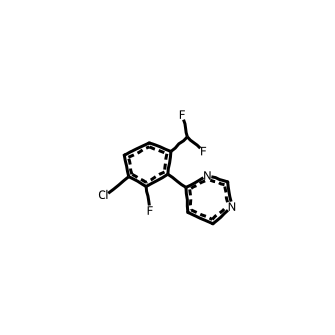 Fc1c(Cl)ccc(C(F)F)c1-c1ccncn1